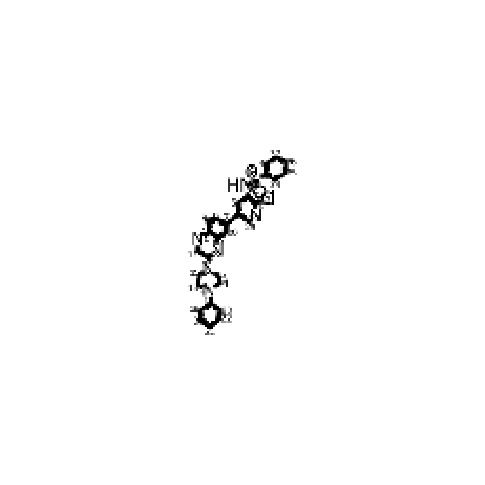 O=S(=O)(Nc1cc(-c2ccc3ncc(N4CCN(c5ccccc5)CC4)nc3c2)cnc1Cl)c1ccccc1